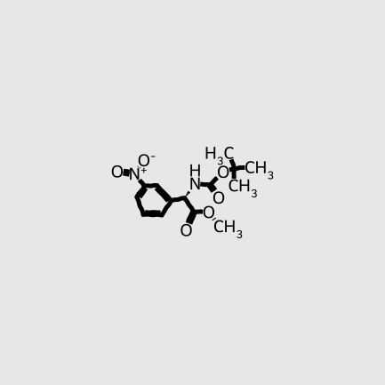 COC(=O)[C@@H](NC(=O)OC(C)(C)C)c1cccc([N+](=O)[O-])c1